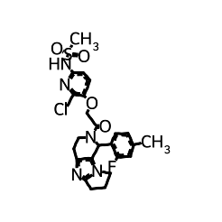 Cc1ccc(C2c3c(nc4n3CCC4)CCN2C(=O)COc2ccc(NS(C)(=O)=O)nc2Cl)c(F)c1